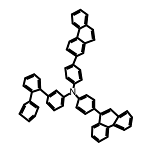 c1ccc(-c2ccccc2-c2cccc(N(c3ccc(-c4ccc5c(ccc6ccccc65)c4)cc3)c3ccc(-c4cc5ccccc5c5ccccc45)cc3)c2)cc1